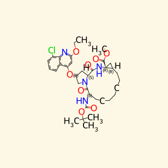 CCOc1cc(O[C@@H]2C[C@H]3C(=O)N[C@]4(C(=O)OC)C[C@H]4CCCCCCC[C@H](NC(=O)OC(C)(C)C)C(=O)N3C2)c2cccc(Cl)c2n1